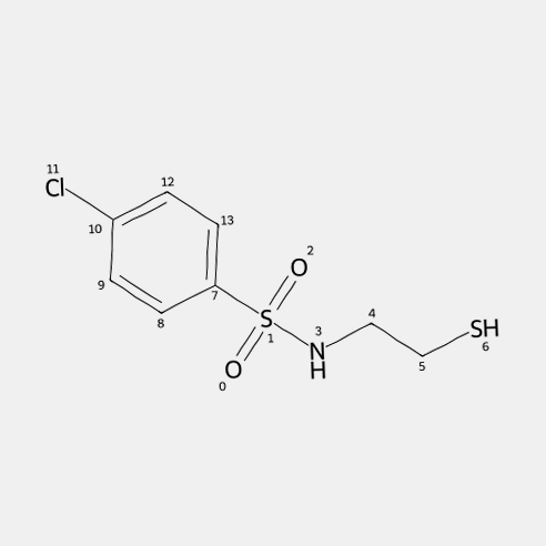 O=S(=O)(NCCS)c1ccc(Cl)cc1